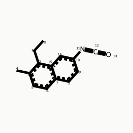 CCc1c(C)ccc2ccc(N=C=O)cc12